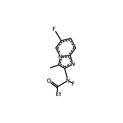 CCC(=O)N(F)c1nc2ccc(F)cn2c1C